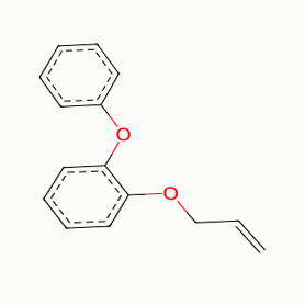 C=CCOc1ccccc1Oc1ccccc1